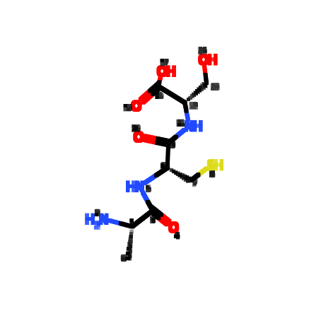 C[C@H](N)C(=O)N[C@@H](CS)C(=O)N[C@@H](CO)C(=O)O